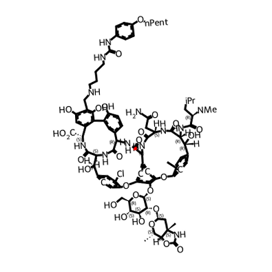 CCCCCOc1ccc(NC(=O)NCCCCNCc2c(O)cc3c(c2O)-c2cc(ccc2O)[C@H]2NC(=O)[C@@H]4NC(=O)[C@H](CC(N)=O)NC(=O)[C@H](NC(=O)[C@@H](CC(C)C)NC)[C@H](O)c5ccc(c(C)c5)Oc5cc4cc(c5O[C@@H]4O[C@H](CO)[C@@H](O)[C@H](O)[C@H]4O[C@H]4C[C@]5(C)NC(=O)O[C@@H]5[C@H](C)O4)Oc4ccc(cc4Cl)[C@@H](O)[C@H](NC2=O)C(=O)N[C@@H]3C(=O)O)cc1